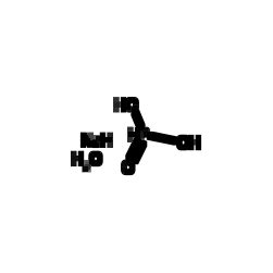 O.O=[PH](O)O.[NaH]